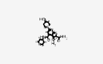 NC(=O)c1sc2nc(N3CCC(O)CC3)cc(C(=O)Nc3ccncc3)c2c1N